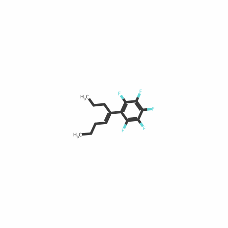 CCCC=C(CCC)c1c(F)c(F)c(F)c(F)c1F